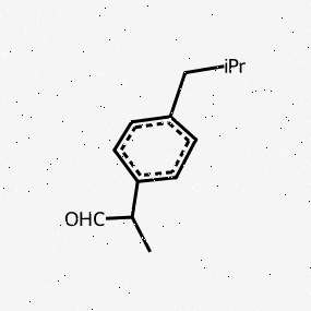 CC(C)Cc1ccc(C(C)C=O)cc1